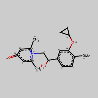 COc1ccc(C(O)Cn2c(C)cc(=O)cc2C)cc1OC1CC1